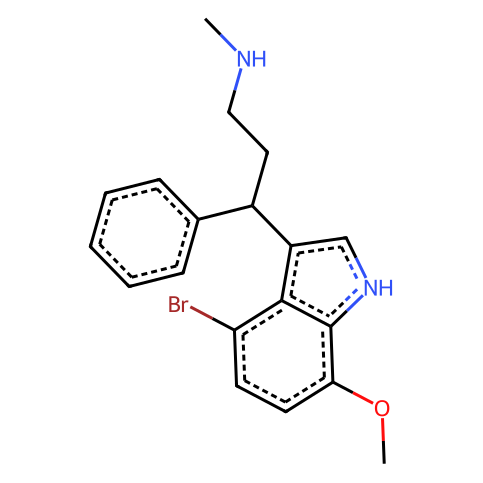 CNCCC(c1ccccc1)c1c[nH]c2c(OC)ccc(Br)c12